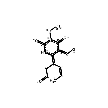 C\C=C/C(CC=O)=c1/[nH]c(=O)n(OC)c(=O)/c1=C\Cl